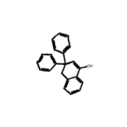 OC1=CC(c2ccccc2)(c2ccccc2)Cc2ccccc21